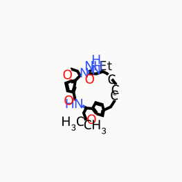 CCC12CCCCCCCc3ccc4c(c3)OC(C)(C)CC4NC(=O)c3ccc4c(c3)C(CCO4)N(C(=N)N1)C(=O)C2